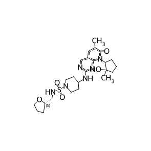 Cc1cc2cnc(NC3CCN(S(=O)(=O)NC[C@@H]4CCCO4)CC3)nc2n(C2CCCC2(C)O)c1=O